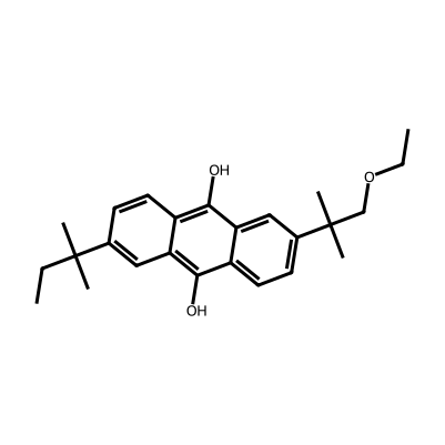 CCOCC(C)(C)c1ccc2c(O)c3cc(C(C)(C)CC)ccc3c(O)c2c1